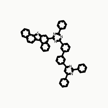 c1ccc(-c2cc(-c3cccc(-c4cccc(-c5nc(-c6ccccc6)nc(-c6cc7sc8c9ccccc9ccc8c7c7ccccc67)n5)c4)c3)nc(-c3ccccc3)n2)cc1